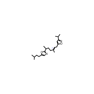 C/C(=C\Cc1cc(C(C)C)no1)CCC(C)c1ncc(CCC(C)C)o1